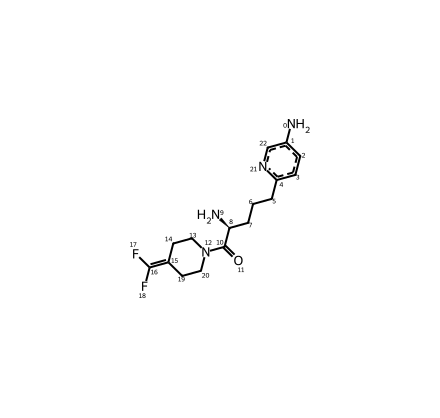 Nc1ccc(CCC[C@H](N)C(=O)N2CCC(=C(F)F)CC2)nc1